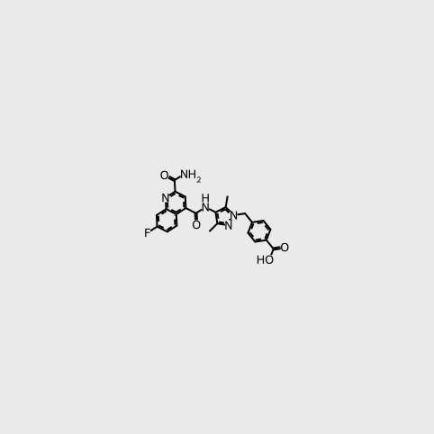 Cc1nn(Cc2ccc(C(=O)O)cc2)c(C)c1NC(=O)c1cc(C(N)=O)nc2cc(F)ccc12